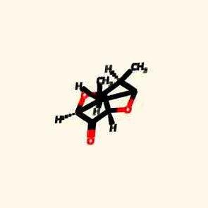 C[C@@H]1C2O[C@@H]3C(=O)[C@H]1O[C@@H]3[C@H]2C